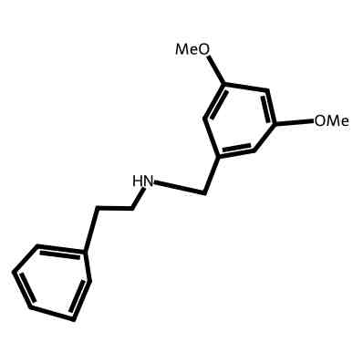 COc1cc(CNCCc2ccccc2)cc(OC)c1